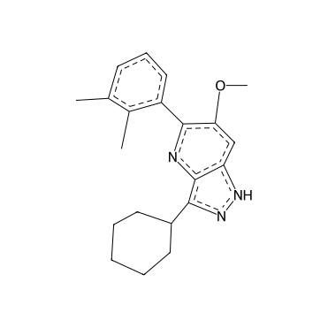 COc1cc2[nH]nc(C3CCCCC3)c2nc1-c1cccc(C)c1C